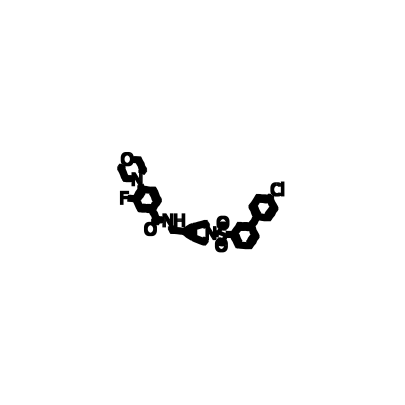 O=C(NCC1C2CN(S(=O)(=O)c3cccc(-c4ccc(Cl)cc4)c3)CC12)c1ccc(N2CCOCC2)c(F)c1